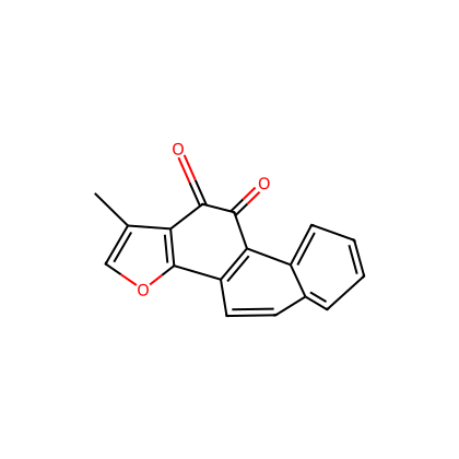 Cc1coc2c1C(=O)C(=O)c1c-2ccc2ccccc12